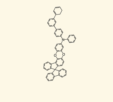 C1=CCCC(c2cccc(-c3ccc(N(c4ccccc4)c4ccc5c(c4)Oc4ccc6c(c4O5)-c4ccccc4C64c5ccccc5-c5ccccc54)cc3)c2)=C1